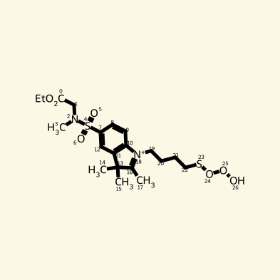 CCOC(=O)CN(C)S(=O)(=O)c1ccc2c(c1)C(C)(C)C(C)=[N+]2CCCCSOOO